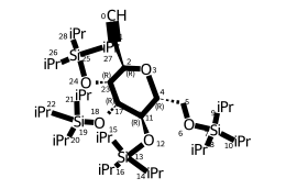 C#C[C@H]1O[C@H](CO[Si](C(C)C)(C(C)C)C(C)C)[C@@H](O[Si](C(C)C)(C(C)C)C(C)C)[C@H](O[Si](C(C)C)(C(C)C)C(C)C)[C@@H]1O[Si](C(C)C)(C(C)C)C(C)C